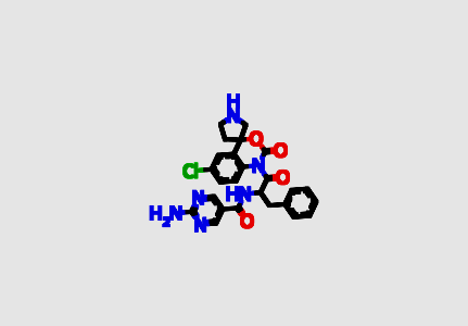 Nc1ncc(C(=O)NC(Cc2ccccc2)C(=O)N2C(=O)OC3(CCNC3)c3cc(Cl)ccc32)cn1